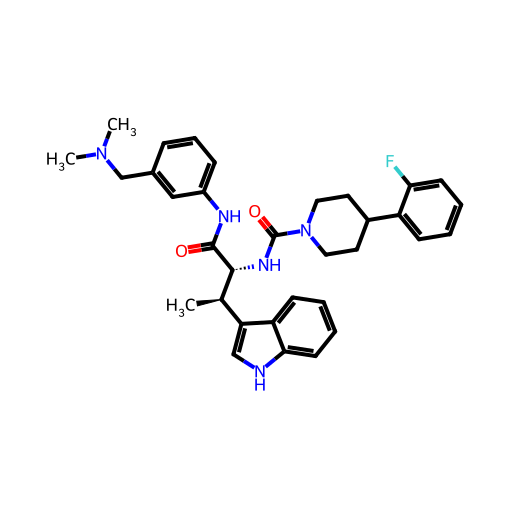 C[C@H](c1c[nH]c2ccccc12)[C@@H](NC(=O)N1CCC(c2ccccc2F)CC1)C(=O)Nc1cccc(CN(C)C)c1